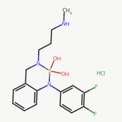 CNCCCN1Cc2ccccc2N(c2ccc(F)c(F)c2)S1(O)O.Cl